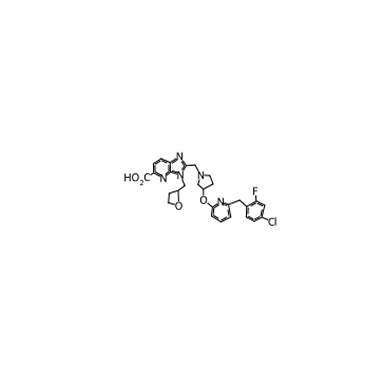 O=C(O)c1ccc2nc(CN3CCC(Oc4cccc(Cc5ccc(Cl)cc5F)n4)C3)n(CC3CCO3)c2n1